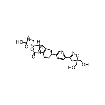 CN(C[C@@H]1OC(=O)N2c3ccc(-c4ccc(C5=NOC(CO)(CO)C5)nc4)cc3C[C@@H]12)C(=O)O